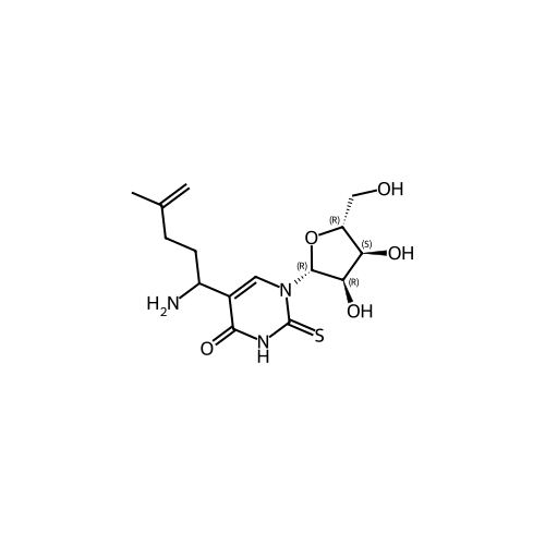 C=C(C)CCC(N)c1cn([C@@H]2O[C@H](CO)[C@@H](O)[C@H]2O)c(=S)[nH]c1=O